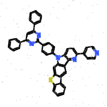 c1ccc(-c2cc(-c3ccccc3)nc(-c3ccc(-n4c5cc6sc7ccccc7c6cc5c5nc(-c6ccncc6)ccc54)cc3)n2)cc1